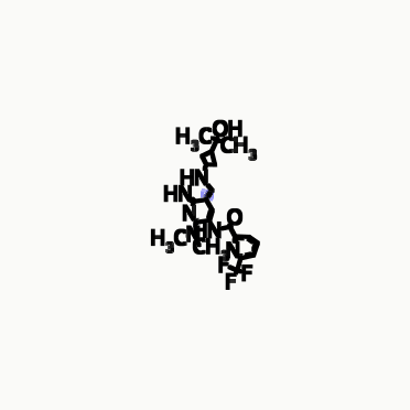 CN(C)C1=NC(=N)/C(=C\NC2CC(C(C)(C)O)C2)C=C1NC(=O)c1cccc(C(F)(F)F)n1